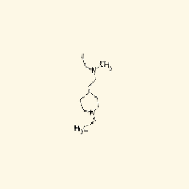 CCN1CCC(CCN(C)CI)CC1